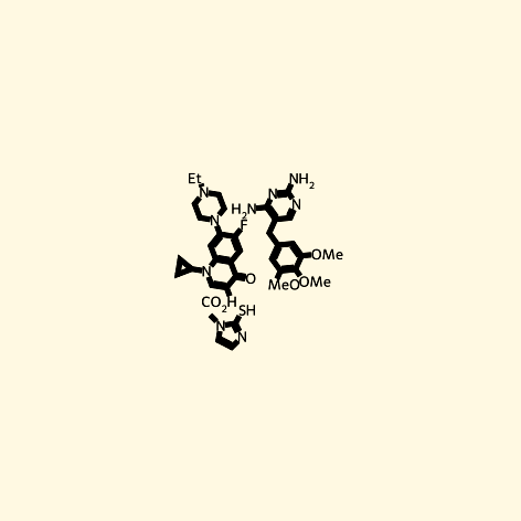 CCN1CCN(c2cc3c(cc2F)c(=O)c(C(=O)O)cn3C2CC2)CC1.COc1cc(Cc2cnc(N)nc2N)cc(OC)c1OC.Cn1ccnc1S